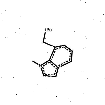 Cn1ccc2cccc(CC(C)(C)C)c21